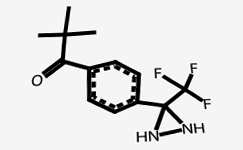 CC(C)(C)C(=O)c1ccc(C2(C(F)(F)F)NN2)cc1